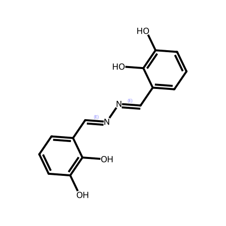 Oc1cccc(/C=N/N=C/c2cccc(O)c2O)c1O